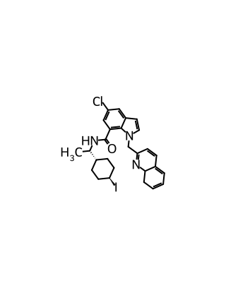 CC(NC(=O)c1cc(Cl)cc2ccn(CC3=NC4CC=CC=C4C=C3)c12)[C@H]1CC[C@H](I)CC1